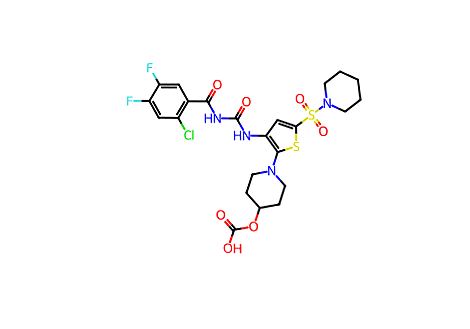 O=C(NC(=O)c1cc(F)c(F)cc1Cl)Nc1cc(S(=O)(=O)N2CCCCC2)sc1N1CCC(OC(=O)O)CC1